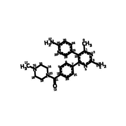 Cc1nc(N)nc(-c2ccc(C(=O)N3CCN(C)CC3)cc2)c1-c1ccc(N)nc1